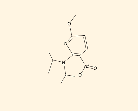 COc1ccc([N+](=O)[O-])c(N(C(C)C)C(C)C)n1